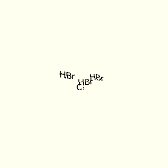 Br.Br.Br.[C]